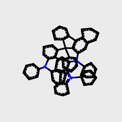 c1ccc(N(c2ccccc2)c2cccc3c2-c2ccccc2C32c3ccccc3-c3c2c(N(c2ccccc2)c2cccc4c5ccccc5n(-c5ccccc5)c24)cc2ccccc32)cc1